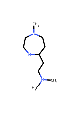 CN(C)CCC1CCN(C)CC[N]1